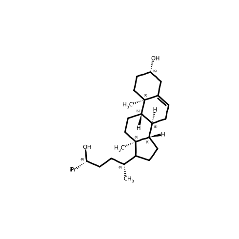 CC(C)[C@H](O)CC[C@@H](C)C1CC[C@H]2[C@@H]3CC=C4C[C@@H](O)CC[C@]4(C)[C@H]3CC[C@]12C